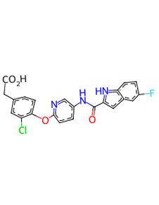 O=C(O)Cc1ccc(Oc2ccc(NC(=O)c3cc4cc(F)ccc4[nH]3)cn2)c(Cl)c1